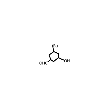 CC(C)(C)C1CC(O)CC(C=O)C1